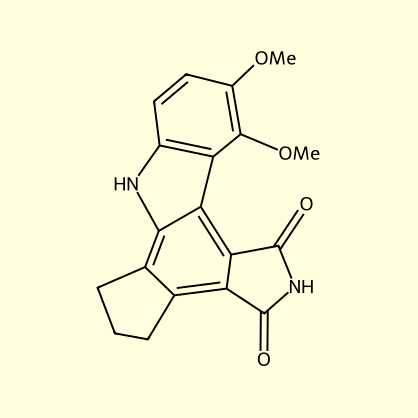 COc1ccc2[nH]c3c4c(c5c(c3c2c1OC)C(=O)NC5=O)CCC4